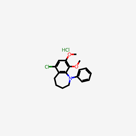 COc1cc(Cl)c2c(c1OC)N(c1ccccc1)CCCC2.Cl